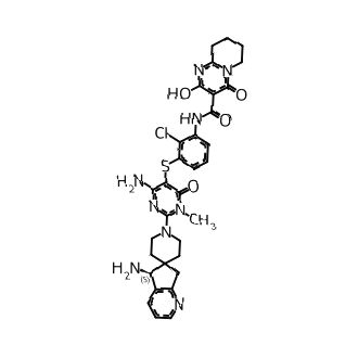 Cn1c(N2CCC3(CC2)Cc2ncccc2[C@H]3N)nc(N)c(Sc2cccc(NC(=O)c3c(O)nc4n(c3=O)CCCC4)c2Cl)c1=O